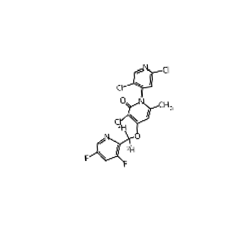 [2H]C([2H])(Oc1cc(C)n(-c2cc(Cl)ncc2Cl)c(=O)c1Cl)c1ncc(F)cc1F